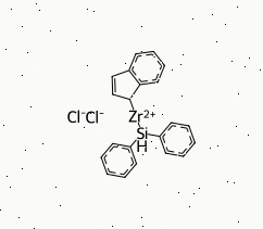 C1=C[CH]([Zr+2][SiH](c2ccccc2)c2ccccc2)c2ccccc21.[Cl-].[Cl-]